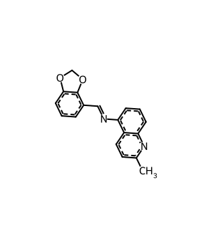 Cc1ccc2c(N=Cc3cccc4c3OCO4)cccc2n1